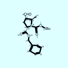 CC(C)(C)OC(=O)N1[C@H](I)[C@@H](C=O)C[C@H]1C(=O)OCc1ccccc1